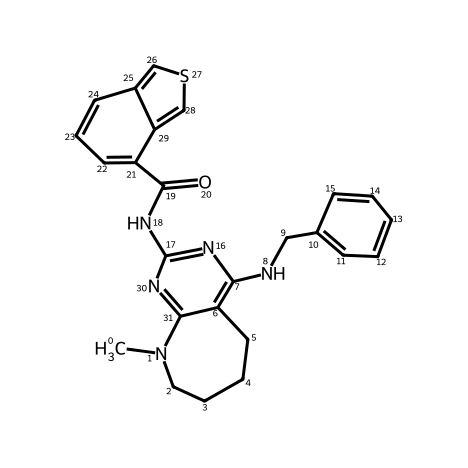 CN1CCCCc2c(NCc3ccccc3)nc(NC(=O)c3cccc4cscc34)nc21